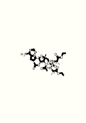 CCOC(=O)[C@H](C)NP(=O)(N[C@@H](C)C(=O)OCC)OC[C@@]1(C)O[C@@H](c2ccc3c(N)ncnn23)[C@H](OC(C)=O)[C@@H]1OC(C)=O